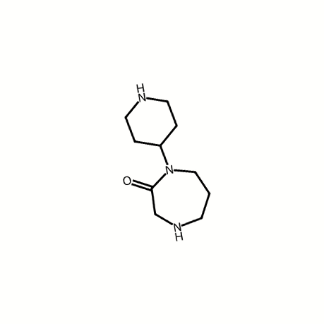 O=C1CNCCCN1C1CCNCC1